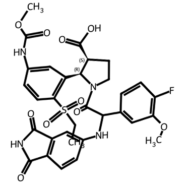 CCS(=O)(=O)c1ccc(NC(=O)OC)cc1[C@H]1[C@@H](C(=O)O)CCN1C(=O)C(Nc1ccc2c(c1)C(=O)NC2=O)c1ccc(F)c(OC)c1